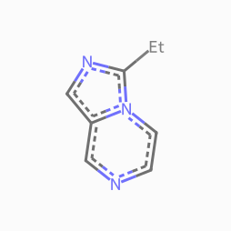 CCc1ncc2cnccn12